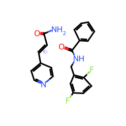 NC(=O)/C=C/c1ccncc1.O=C(NCc1cc(F)ccc1F)c1ccccc1